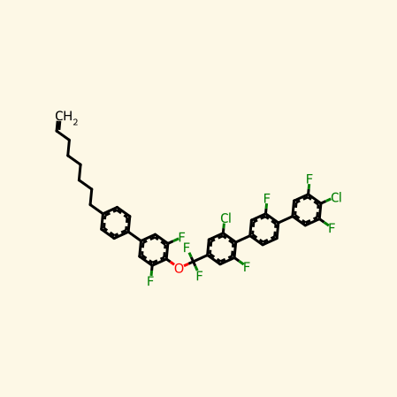 C=CCCCCCCc1ccc(-c2cc(F)c(OC(F)(F)c3cc(F)c(-c4ccc(-c5cc(F)c(Cl)c(F)c5)c(F)c4)c(Cl)c3)c(F)c2)cc1